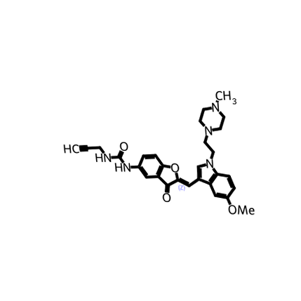 C#CCNC(=O)Nc1ccc2c(c1)C(=O)/C(=C/c1cn(CCN3CCN(C)CC3)c3ccc(OC)cc13)O2